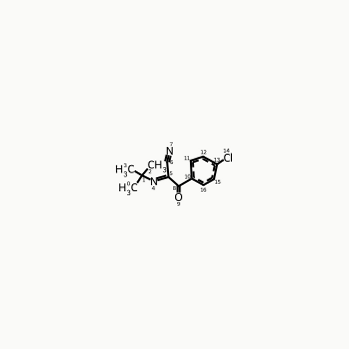 CC(C)(C)/N=C(\C#N)C(=O)c1ccc(Cl)cc1